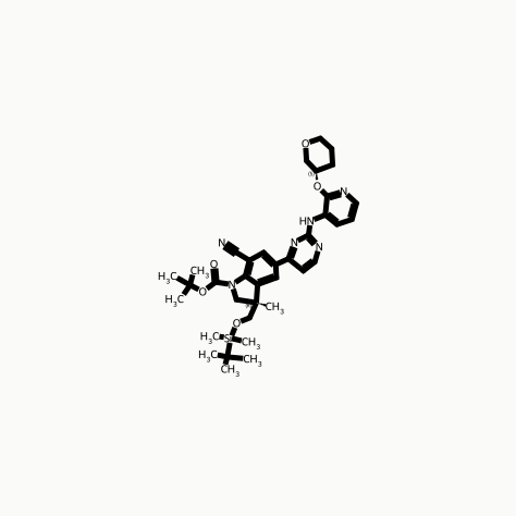 CC(C)(C)OC(=O)N1C[C@](C)(CO[Si](C)(C)C(C)(C)C)c2cc(-c3ccnc(Nc4cccnc4O[C@H]4CCCOC4)n3)cc(C#N)c21